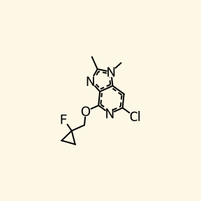 Cc1nc2c(OCC3(F)CC3)nc(Cl)cc2n1C